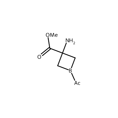 COC(=O)C1(N)CB(C(C)=O)C1